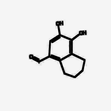 O=[C]c1cc(O)c(O)c2c1CCCC2